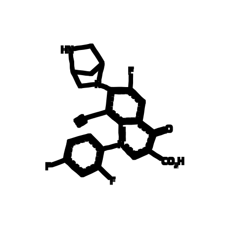 C#Cc1c(N2CC3CC2CN3)c(F)cc2c(=O)c(C(=O)O)cn(-c3ccc(F)cc3F)c12